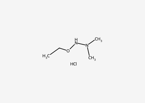 CCONN(C)C.Cl